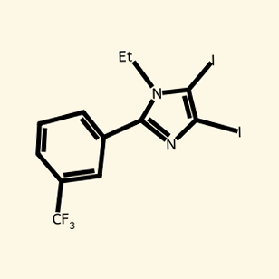 CCn1c(-c2cccc(C(F)(F)F)c2)nc(I)c1I